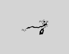 CCCCCCCCCC(OCC)(Oc1ccccc1)C(=O)O